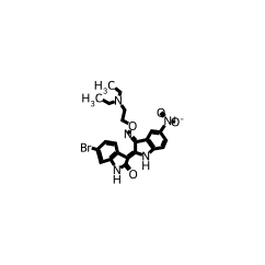 CCN(CC)CCO/N=C1/C(=C2/C(=O)Nc3cc(Br)ccc32)Nc2ccc([N+](=O)[O-])cc21